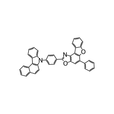 c1ccc(-c2cc3oc(-c4ccc(-n5c6ccccc6c6c7ccccc7ccc65)cc4)nc3c3c2oc2ccccc23)cc1